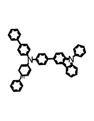 C1=C[C@@H](c2ccccc2)CC=C1N(c1ccc(-c2ccccc2)cc1)c1ccc(-c2ccc3c(c2)c2ccccc2n3-c2ccccc2)cc1